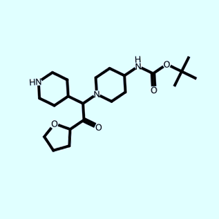 CC(C)(C)OC(=O)NC1CCN(C(C(=O)C2CCCO2)C2CCNCC2)CC1